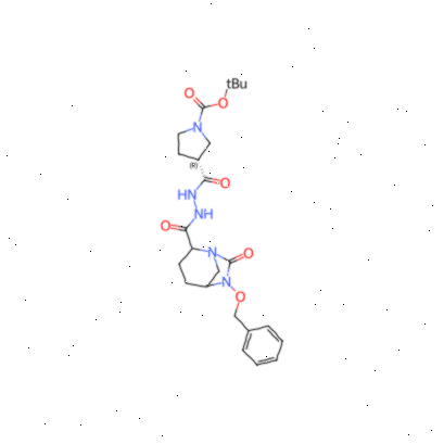 CC(C)(C)OC(=O)N1CC[C@@H](C(=O)NNC(=O)C2CCC3CN2C(=O)N3OCc2ccccc2)C1